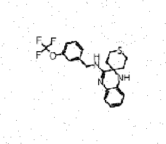 FC(F)(F)Oc1cccc(CNC2=Nc3ccccc3NC23CCSCC3)c1